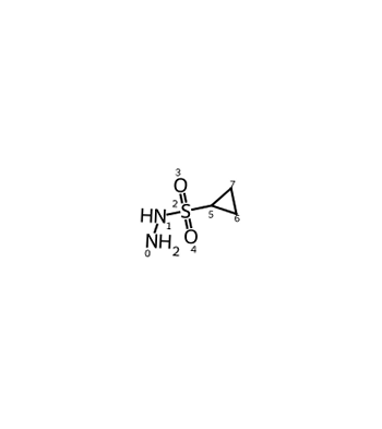 NNS(=O)(=O)C1CC1